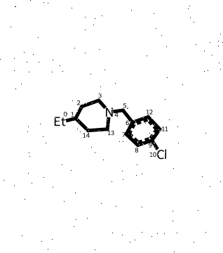 CCC1CCN(Cc2ccc(Cl)cc2)CC1